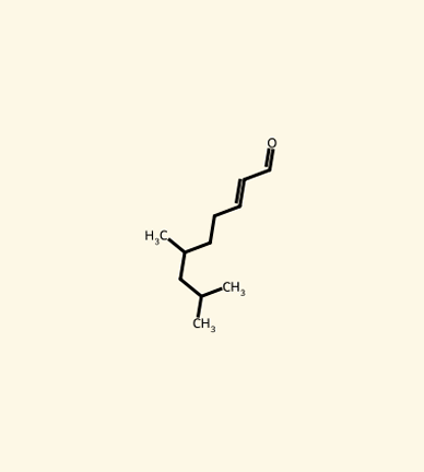 CC(C)CC(C)CCC=CC=O